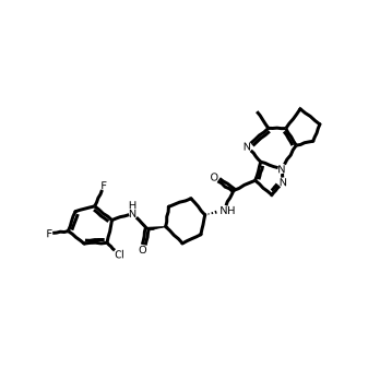 Cc1nc2c(C(=O)N[C@H]3CC[C@H](C(=O)Nc4c(F)cc(F)cc4Cl)CC3)cnn2c2c1CCC2